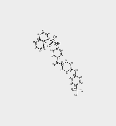 C=C(c1ccc(NS(=O)(=O)c2cccc3cccnc23)cc1)N1CCN(Cc2ccc(C(C)(C)C)cc2)CC1